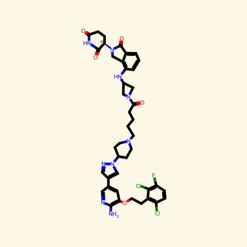 Nc1ncc(-c2cnn(C3CCN(CCCCC(=O)N4CC(Nc5cccc6c5CN([C@@H]5CCC(=O)NC5=O)C6=O)C4)CC3)c2)cc1OCCc1c(Cl)ccc(F)c1Cl